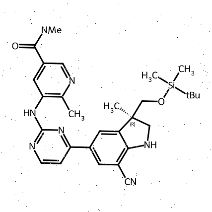 CNC(=O)c1cnc(C)c(Nc2nccc(-c3cc(C#N)c4c(c3)[C@@](C)(CO[Si](C)(C)C(C)(C)C)CN4)n2)c1